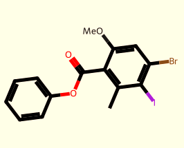 COc1cc(Br)c(I)c(C)c1C(=O)Oc1ccccc1